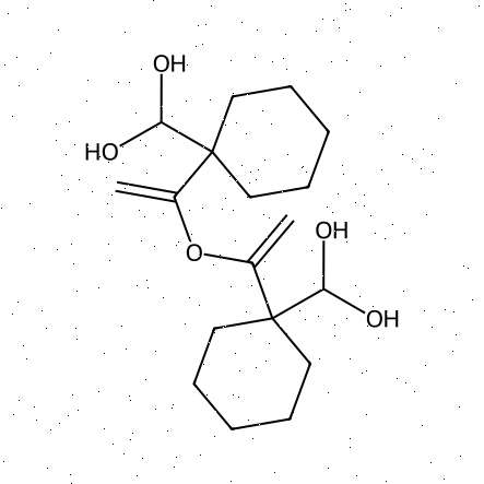 C=C(OC(=C)C1(C(O)O)CCCCC1)C1(C(O)O)CCCCC1